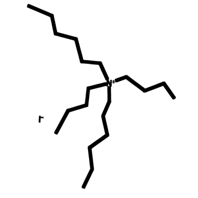 CCCCCC[N+](CCCC)(CCCC)CCCCCC.[I-]